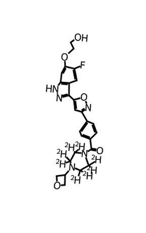 [2H]C1([2H])N(C(=O)c2ccc(-c3cc(-c4n[nH]c5cc(OCCO)c(F)cc45)on3)cc2)C([2H])([2H])C([2H])([2H])N(C2COC2)C1([2H])[2H]